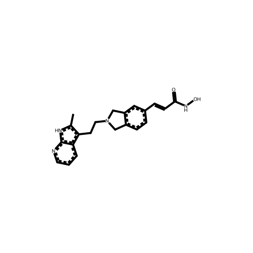 Cc1[nH]c2ncccc2c1CCN1Cc2ccc(C=CC(=O)NO)cc2C1